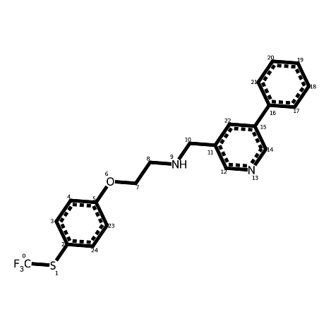 FC(F)(F)Sc1ccc(OCCNCc2cncc(-c3ccccc3)c2)cc1